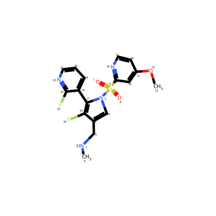 CNCc1cn(S(=O)(=O)c2cc(OC)ccn2)c(-c2cccnc2F)c1F